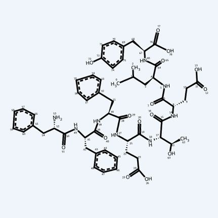 CC(C)C[C@H](NC(=O)[C@H](CCC(=O)O)NC(=O)[C@@H](NC(=O)[C@H](CCC(=O)O)NC(=O)[C@H](Cc1ccccc1)NC(=O)[C@H](Cc1ccccc1)NC(=O)[C@@H](N)Cc1ccccc1)[C@@H](C)O)C(=O)N[C@@H](Cc1ccc(O)cc1)C(=O)O